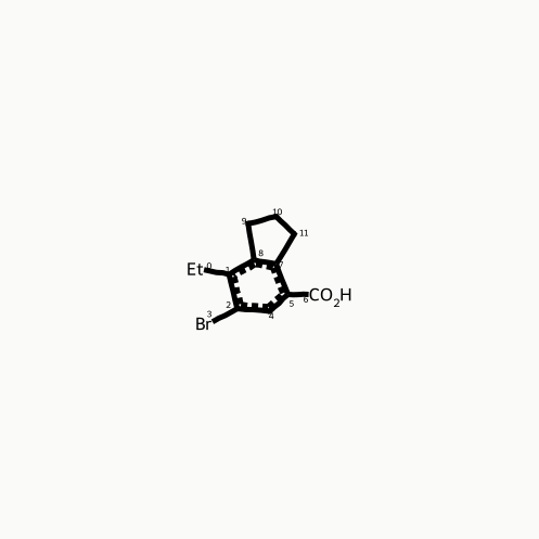 CCc1c(Br)cc(C(=O)O)c2c1CCC2